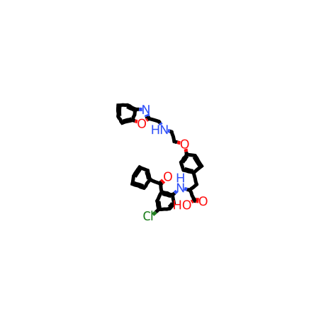 O=C(c1ccccc1)c1cc(Cl)ccc1NC(Cc1ccc(OCCNCc2nc3ccccc3o2)cc1)C(=O)O